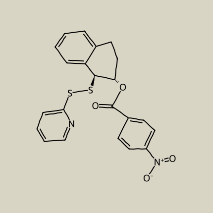 O=C(O[C@H]1CCc2ccccc2[C@@H]1SSc1ccccn1)c1ccc([N+](=O)[O-])cc1